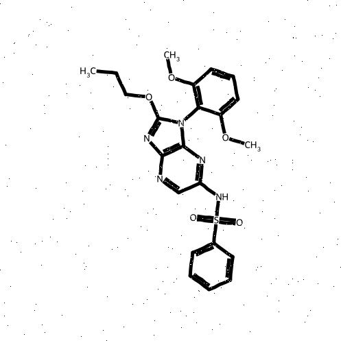 CCCOc1nc2ncc(NS(=O)(=O)c3ccccc3)nc2n1-c1c(OC)cccc1OC